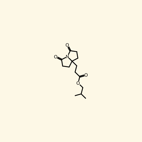 CC(C)COC(=O)CCC12CCC(=O)N1C(=O)CC2